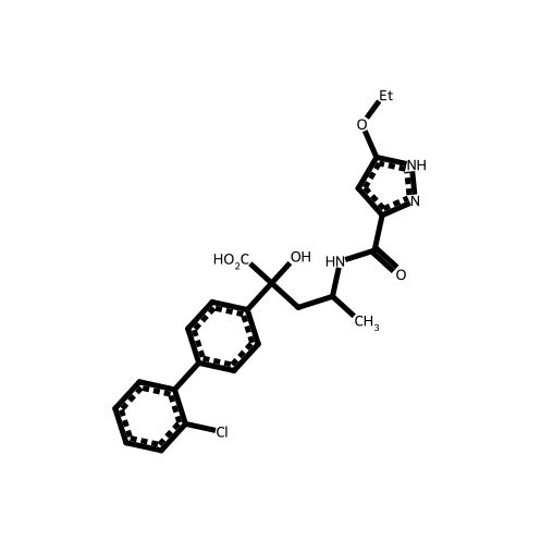 CCOc1cc(C(=O)NC(C)CC(O)(C(=O)O)c2ccc(-c3ccccc3Cl)cc2)n[nH]1